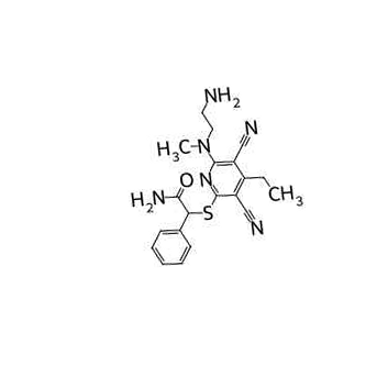 CCc1c(C#N)c(SC(C(N)=O)c2ccccc2)nc(N(C)CCN)c1C#N